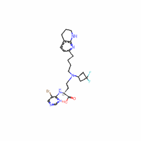 O=C(O)[C@H](CCN(CCCCc1ccc2c(n1)NCCC2)C1CC(F)(F)C1)Nc1ncncc1Br